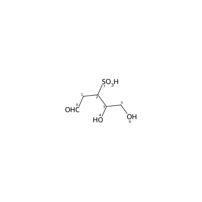 O=CCC(C(O)CO)S(=O)(=O)O